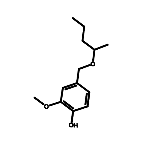 CCCC(C)OCc1ccc(O)c(OC)c1